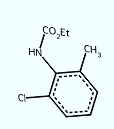 CCOC(=O)Nc1c(C)cccc1Cl